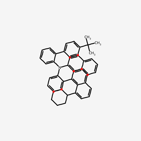 CC(C)(C)c1ccc(-c2ccccc2N(c2ccc3ccccc3c2)c2ccccc2-c2cccc3cccc(C4CCCCC4)c23)cc1